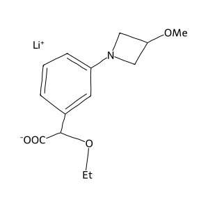 CCOC(C(=O)[O-])c1cccc(N2CC(OC)C2)c1.[Li+]